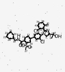 CC(C)(O)c1cn(-c2ccc(-c3ccc(C(=O)NCc4ccccc4)c(S(C)(=O)=O)c3)cc2Cl)c(-c2c(F)cccc2Cl)n1